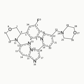 Fc1cccc(C2COCCN2c2ccc3ncc(-c4ccc(CN5CCOCC5)cn4)n3n2)c1